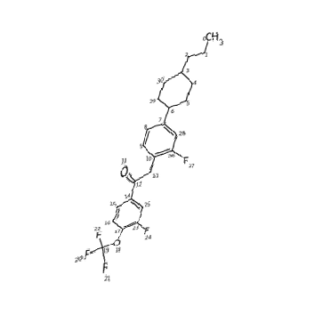 CCCC1CCC(c2ccc(CC(=O)c3ccc(OC(F)(F)F)c(F)c3)c(F)c2)CC1